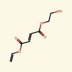 C=COC(=O)C=CC(=O)OCCO